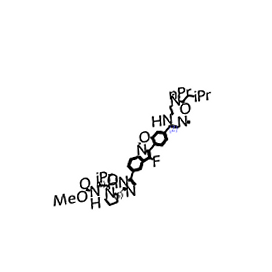 C=N/C=C(\NCCN(CCC)C(=O)CC(C)C)c1ccc2c(c1)OCn1c-2c(F)c2cc(-c3cnc([C@@H]4CCCN4C(=O)[C@@H](NC(=O)OC)C(C)C)[nH]3)ccc21